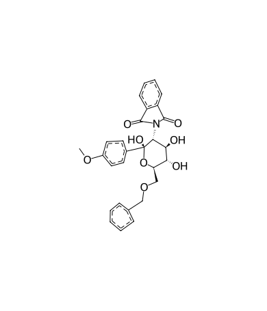 COc1ccc([C@@]2(O)O[C@H](COCc3ccccc3)[C@@H](O)[C@H](O)[C@H]2N2C(=O)c3ccccc3C2=O)cc1